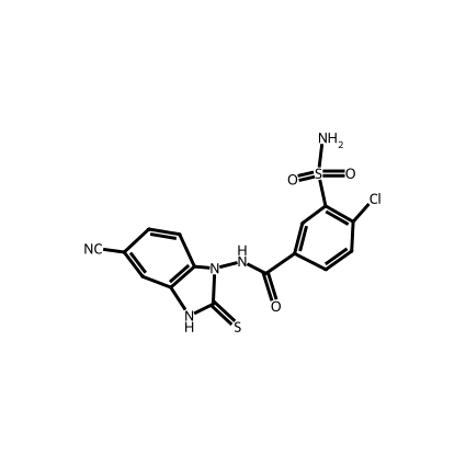 N#Cc1ccc2c(c1)[nH]c(=S)n2NC(=O)c1ccc(Cl)c(S(N)(=O)=O)c1